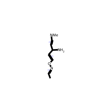 C/C=N/O/C=C/C(N)/C=C/NC